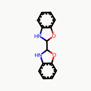 [c]1cccc2c1NC(C1Nc3ccccc3O1)O2